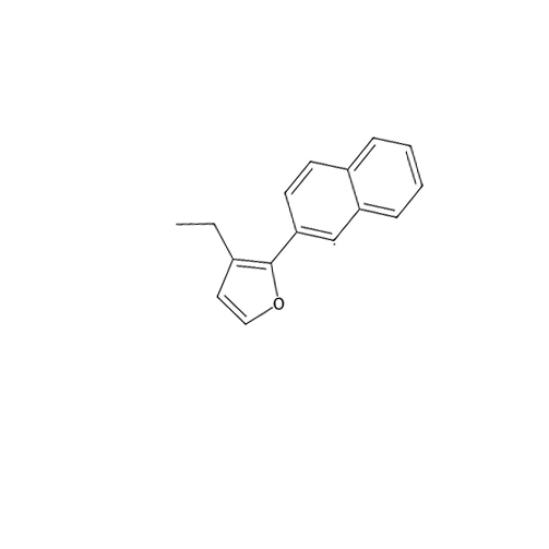 CCc1ccoc1-c1[c]c2ccccc2cc1